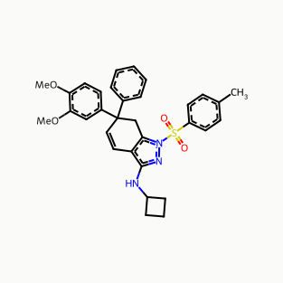 COc1ccc(C2(c3ccccc3)C=Cc3c(NC4CCC4)nn(S(=O)(=O)c4ccc(C)cc4)c3C2)cc1OC